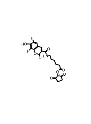 O=C(CCCCCNC(=O)c1cc2cc(F)c(O)c(F)c2oc1=O)ON1C(=O)CCC1=O